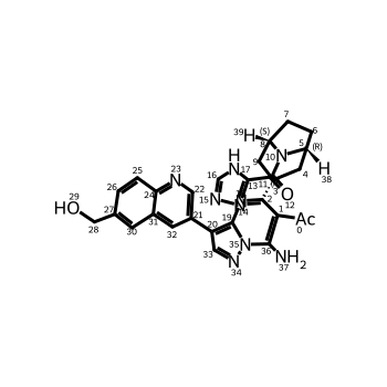 CC(=O)c1c([C@H]2C[C@H]3CC[C@@H](C2)N3C(=O)c2nnc[nH]2)nc2c(-c3cnc4ccc(CO)cc4c3)cnn2c1N